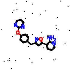 Nc1ncccc1-c1cc(Cc2ccc(Oc3ncccn3)cc2)no1